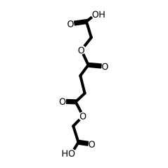 O=C(O)COC(=O)CCC(=O)OCC(=O)O